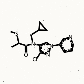 CSC(C)C(=O)N(CC1CC1)c1cn(-c2cccnc2)nc1Cl